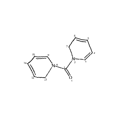 O=C(N1C=CC=CC1)N1C=CC=CC1